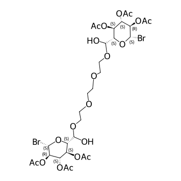 CC(=O)O[C@@H]1[C@@H](OC(C)=O)[C@H](Br)O[C@H](C(O)OCCOCCOCCOC(O)[C@H]2O[C@@H](Br)[C@H](OC(C)=O)[C@@H](OC(C)=O)[C@@H]2OC(C)=O)[C@H]1OC(C)=O